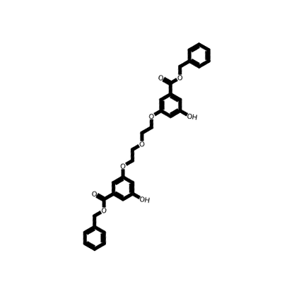 O=C(OCc1ccccc1)c1cc(O)cc(OCCOCCOc2cc(O)cc(C(=O)OCc3ccccc3)c2)c1